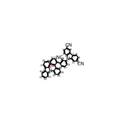 N#Cc1ccc2c(c1)c1ccc(C#N)cc1n2-c1cccc(-c2ccccc2-c2ccccc2-n2c3ccccc3c3ccccc32)c1C#N